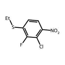 CCSc1ccc([N+](=O)[O-])c(Cl)c1F